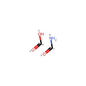 NC=O.O=CO